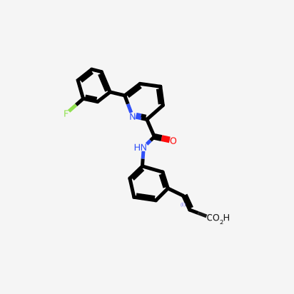 O=C(O)/C=C/c1cccc(NC(=O)c2cccc(-c3cccc(F)c3)n2)c1